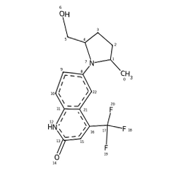 CC1CCC(CO)N1c1ccc2[nH]c(=O)cc(C(F)(F)F)c2c1